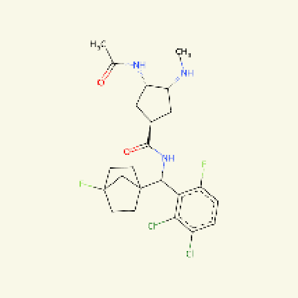 CN[C@@H]1C[C@@H](C(=O)NC(c2c(F)ccc(Cl)c2Cl)C23CCC(F)(CC2)C3)C[C@@H]1NC(C)=O